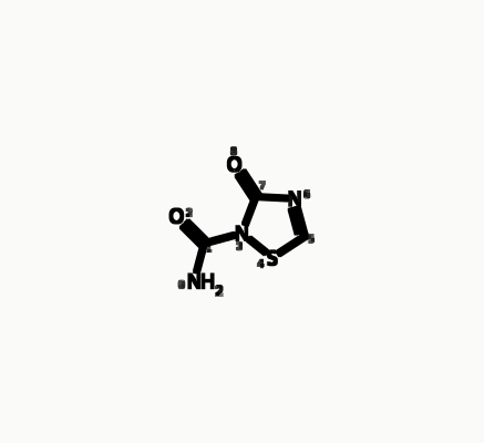 NC(=O)n1scnc1=O